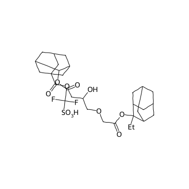 CCC1(OC(=O)COCC(O)COC(=O)C23CC4CC(C2)C(OC(=O)C(F)(F)S(=O)(=O)O)C(C4)C3)C2CC3CC(C2)CC1C3